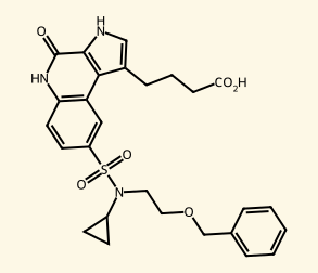 O=C(O)CCCc1c[nH]c2c(=O)[nH]c3ccc(S(=O)(=O)N(CCOCc4ccccc4)C4CC4)cc3c12